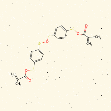 C=C(C)C(=O)OSc1ccc(SOSc2ccc(SOC(=O)C(=C)C)cc2)cc1